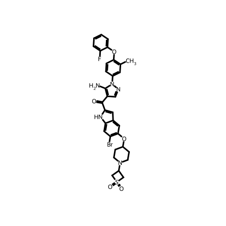 Cc1cc(-n2ncc(C(=O)c3cc4cc(OC5CCN(C6CS(=O)(=O)C6)CC5)c(Br)cc4[nH]3)c2N)ccc1Oc1ccccc1F